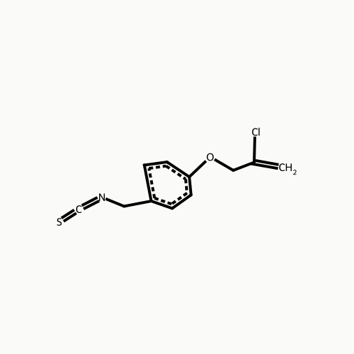 C=C(Cl)COc1ccc(CN=C=S)cc1